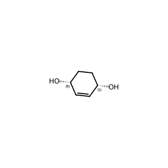 O[C@@H]1C=C[C@H](O)CC1